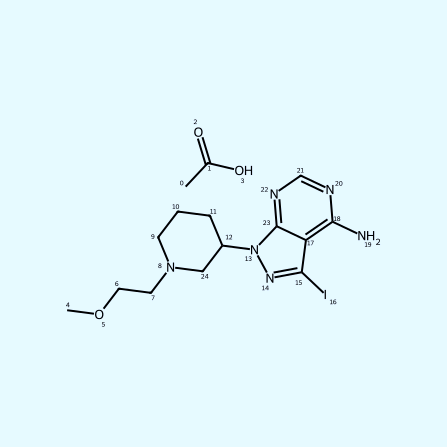 CC(=O)O.COCCN1CCCC(n2nc(I)c3c(N)ncnc32)C1